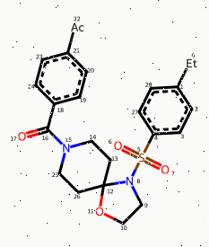 CCc1ccc(S(=O)(=O)N2CCOC23CCN(C(=O)c2ccc(C(C)=O)cc2)CC3)cc1